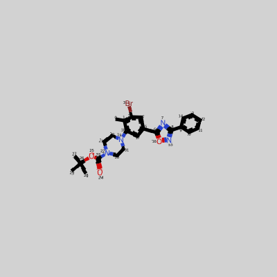 Cc1c(Br)cc(-c2nc(-c3ccccc3)no2)cc1N1CCN(C(=O)OC(C)(C)C)CC1